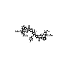 CCc1cc(-c2ccc3[nH]c([C@@H]4CC5CCCCC5N4C(=O)[C@H](CCSC)NC(=O)OC)nc3c2)c(CCc2ccc(C)cc2)cc1-c1ccc2[nH]c([C@@H]3CC4CCCCC4N3C(=O)[C@H](CCSC)NC(=O)OC)nc2c1